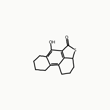 O=C1SC2CCCc3c4c(c(O)c1c32)CCCC4